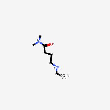 CN(C)C(=O)CCCNCC(=O)O